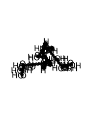 O=C(O)CCC(NC(=O)NC(CCCCNC(=O)CCCCCCCNC(=O)C(Cc1ccccc1)NC(=O)C(Cc1ccccc1)NC(=O)CN1CCN(CC(=O)O)CCN(CC(=O)NC(Cc2ccccc2)C(=O)NC(Cc2ccccc2)C(=O)NCCCCCCCC(=O)NCCCCC(NC(=O)NC(CCC(=O)O)C(=O)O)C(O)O)CC1)C(=O)O)C(=O)O